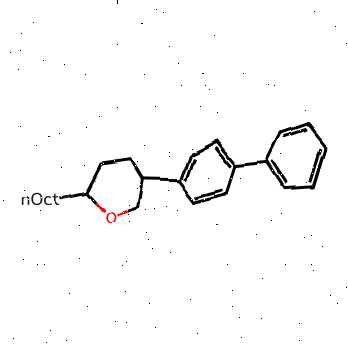 CCCCCCCCC1CCC(c2ccc(-c3ccccc3)cc2)CO1